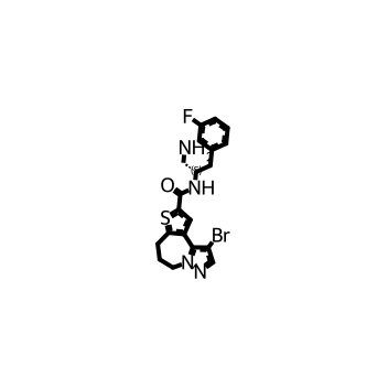 NC[C@H](Cc1cccc(F)c1)NC(=O)c1cc2c(s1)CCCn1ncc(Br)c1-2